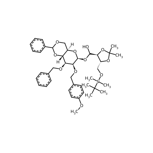 COc1ccc(CO[C@@H]2[C@H](OC(O)[C@H]3OC(C)(C)O[C@@H]3CO[Si](C)(C)C(C)(C)C)O[C@@H]3COC(c4ccccc4)O[C@H]3[C@@H]2OCc2ccccc2)cc1